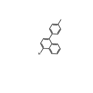 Cc1ccc(-c2ccc(Br)c3ccccc23)cc1